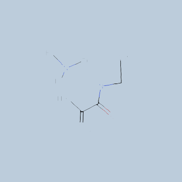 C=C(C)C(=O)NCS(=O)(=O)O.CCN(CC)CC